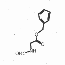 O=[C]NCC(=O)OCc1ccccc1